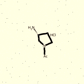 CC(=O)N1CC[C@@H](N)C1.Cl